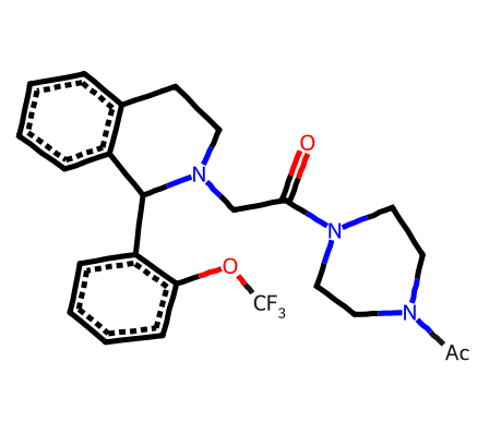 CC(=O)N1CCN(C(=O)CN2CCc3ccccc3C2c2ccccc2OC(F)(F)F)CC1